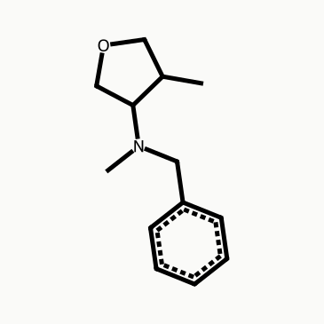 CC1COCC1N(C)Cc1ccccc1